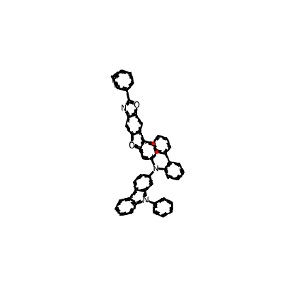 c1ccc(-c2nc3cc4oc5cc(N(c6ccc7c8ccccc8n(-c8ccccc8)c7c6)c6ccccc6-c6ccccc6)ccc5c4cc3o2)cc1